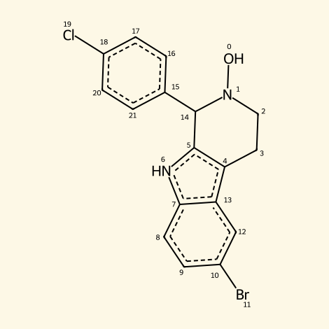 ON1CCc2c([nH]c3ccc(Br)cc23)C1c1ccc(Cl)cc1